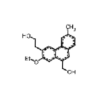 CCOc1cc2c(CO)cc3ccc(C)cc3c2cc1CCO